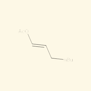 CCCCCC=COC(C)=O